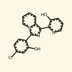 Oc1cc(Cl)ccc1-c1nc(-c2ncccc2O)c2ccccn12